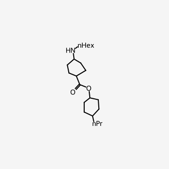 CCCCCCNC1CCC(C(=O)OC2CCC(CCC)CC2)CC1